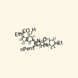 CCCCCn1cc(C(=O)Nc2ccc(CC)cc2)nc1-c1ccc2c(c1)CCC2C(CC)C(=O)O